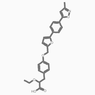 CCOC(Cc1ccc(OCc2ccc(-c3ccc(-c4cc(C)no4)cc3)o2)cc1)C(=O)O